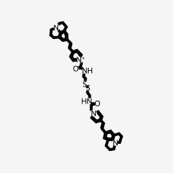 O=C(C[n+]1ccc(/C=C/c2cc3c4c(c2)CCCN4CCC3)cc1)NCCSSCCNC(=O)C[n+]1ccc(/C=C/c2cc3c4c(c2)CCCN4CCC3)cc1